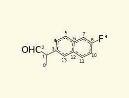 CC(C=O)c1ccc2cc(F)ccc2c1